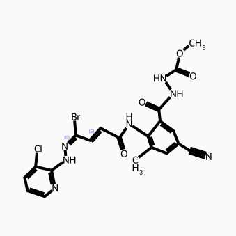 COC(=O)NNC(=O)c1cc(C#N)cc(C)c1NC(=O)/C=C/C(Br)=N\Nc1ncccc1Cl